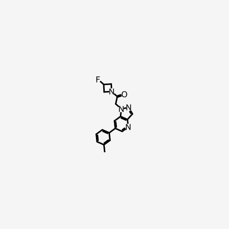 Cc1cccc(-c2cnc3cnn(CC(=O)N4CC(F)C4)c3c2)c1